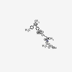 Cc1ccc(-c2cc(C(F)(F)F)nn2-c2ccc(S(=O)(=O)NC(=O)OCCCN(C)/[N+]([O-])=N/OC(C)OC(=O)OC(C)(C)C)cc2)cc1